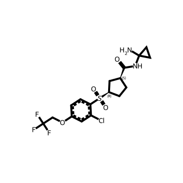 NC1(NC(=O)[C@H]2CC[C@@H](S(=O)(=O)c3ccc(OCC(F)(F)F)cc3Cl)C2)CC1